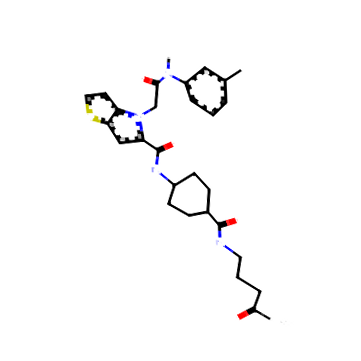 CCN(C(=O)Cn1c(C(=O)NC2CCC(C(=O)NCCCC(=O)OC)CC2)cc2sccc21)c1cccc(C)c1